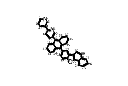 c1cncc(-c2ccc(-c3c4ccccc4c(-c4ccc5oc6c7ccccc7ccc6c5c4)c4ccccc34)cn2)c1